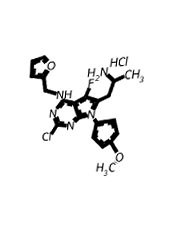 COc1ccc(-n2c(CC(C)N)c(F)c3c(NCc4ccco4)nc(Cl)nc32)cc1.Cl